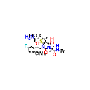 CCOC(=O)c1sc2c(c1C)[C@@H](O)N(C(C)(C)C(=O)NC(C)C)C(=O)N2CC(OCCN)c1cc(F)ccc1OC